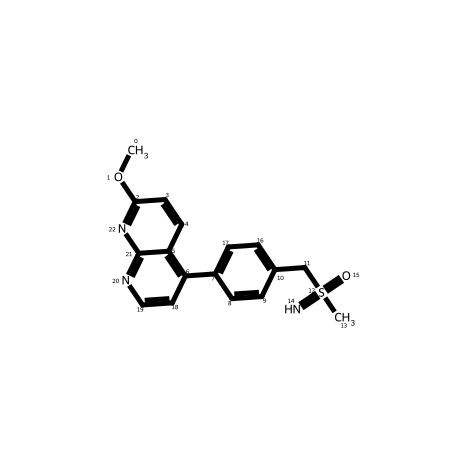 COc1ccc2c(-c3ccc(CS(C)(=N)=O)cc3)ccnc2n1